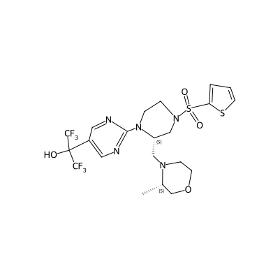 C[C@H]1COCCN1C[C@H]1CN(S(=O)(=O)c2cccs2)CCN1c1ncc(C(O)(C(F)(F)F)C(F)(F)F)cn1